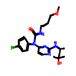 COCCCNC(=O)N(c1ccc(F)cc1)c1ccnc(N[C@@H](C)C(C)(C)O)n1